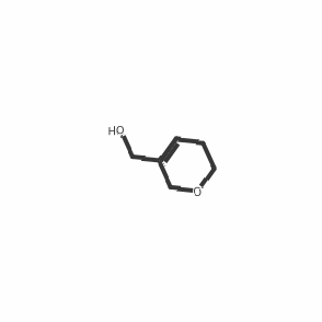 OCC1=CCCOC1